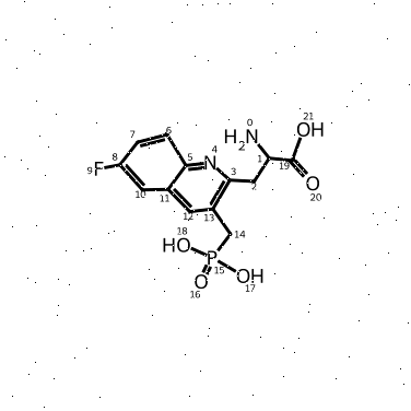 NC(Cc1nc2ccc(F)cc2cc1CP(=O)(O)O)C(=O)O